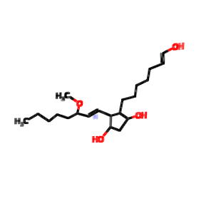 CCCCCC(/C=C/C1C(O)CC(O)C1CCCCCC=CO)OC